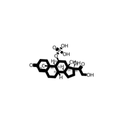 C[C@]12CCC(=O)C=C1CC[C@@H]1[C@@H]2[C@@H](OP(=O)(O)O)C[C@@]2(C)[C@H]1CC[C@]2(O)C(=O)CO